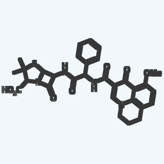 COc1ccc2c3c1c(=O)c(C(=O)NC(C(=O)NC1C(=O)N4C1SC(C)(C)C4C(=O)O)c1ccccc1)cn3CCC2